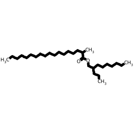 CCCCCCCCCCCCCCCCC(C)C(=O)OCC(CCC)CCCCCCC